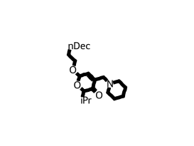 CCCCCCCCCCCCOC1C=C(CN2CCCCC2)C(=O)C(C(C)C)O1